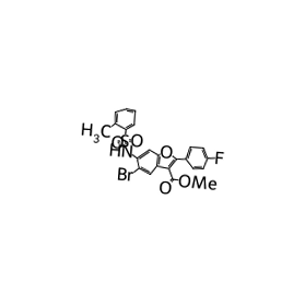 COC(=O)c1c(-c2ccc(F)cc2)oc2cc(NS(=O)(=O)c3ccccc3C)c(Br)cc12